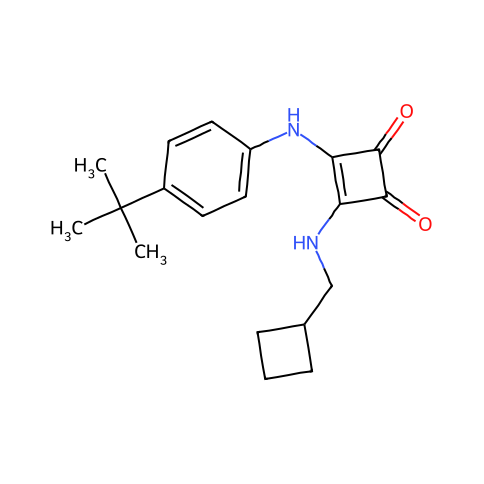 CC(C)(C)c1ccc(Nc2c(NCC3CCC3)c(=O)c2=O)cc1